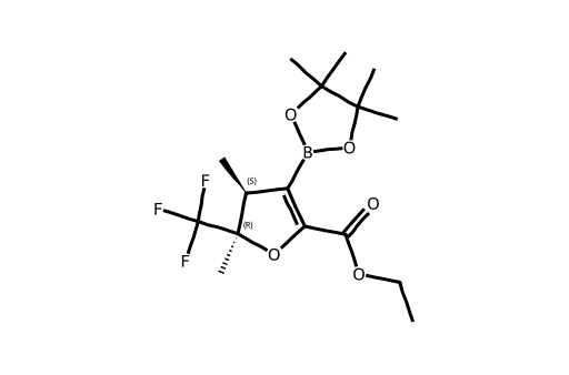 CCOC(=O)C1=C(B2OC(C)(C)C(C)(C)O2)[C@H](C)[C@](C)(C(F)(F)F)O1